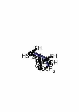 C=C/C=C(\C=C1/CN(CCS)[C@H](/C=C/C=C(/C=C/C=C2/N(CCS)c3ccc(S)cc3C2(C)C)CCC(=O)NCCN2C(=O)C=CC2=O)C1(C)C)S(=O)(=O)O